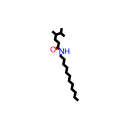 CCCCCCCCCCCCNC(=O)CCC(C)C(C)C